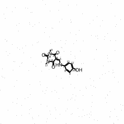 CN1C(=O)C(=CNc2ccc(O)cc2)C(=O)N(C)C1=O